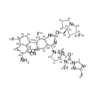 CCN(C(=O)n1cnc(F)n1)[C@@H]1CCN(c2nc(OC[C@@]34CCCN3C[C@H](F)C4)nc3c(F)c(-c4ccc(F)c5sc(N)c(C#N)c45)c(Cl)cc23)[C@@H]1C